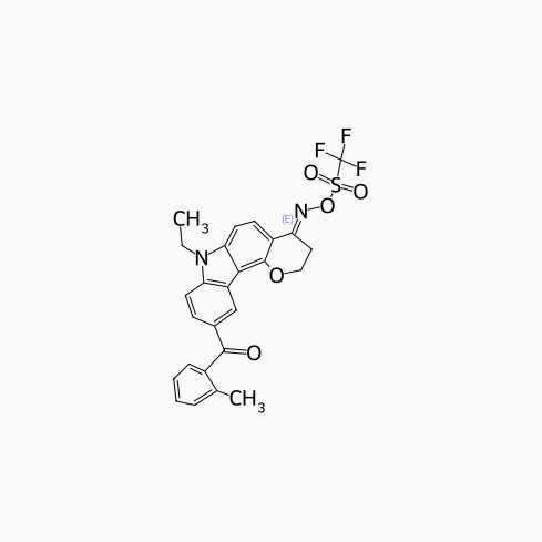 CCn1c2ccc(C(=O)c3ccccc3C)cc2c2c3c(ccc21)/C(=N/OS(=O)(=O)C(F)(F)F)CCO3